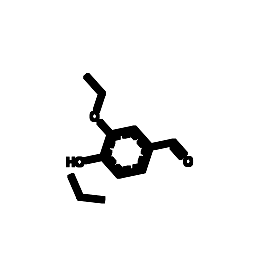 CCC.CCOc1cc(C=O)ccc1O